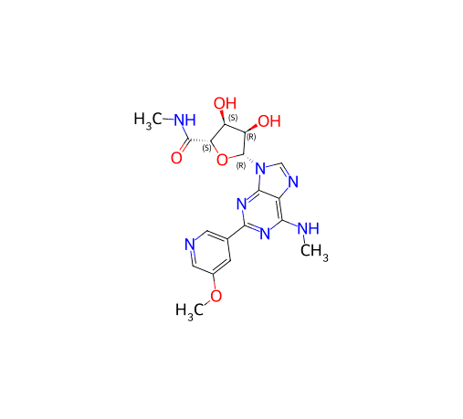 CNC(=O)[C@H]1O[C@@H](n2cnc3c(NC)nc(-c4cncc(OC)c4)nc32)[C@H](O)[C@@H]1O